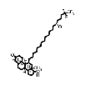 C[C@]12CCC(=O)CC1CC[C@@H]1[C@H]2C(CCCCCCCCCCCCC[S+]([O-])CCCC(F)(F)C(F)(F)F)C[C@]2(C)C(O)CC[C@@H]12